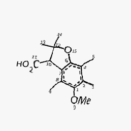 COc1c(C)c(C)c2c(c1C)C(C(=O)O)C(C)(C)O2